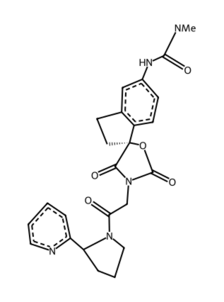 CNC(=O)Nc1ccc2c(c1)CC[C@@]21OC(=O)N(CC(=O)N2CCCC2c2ccccn2)C1=O